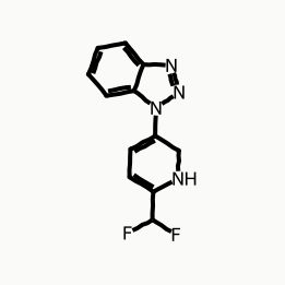 FC(F)C1=CC=C(n2nnc3ccccc32)CN1